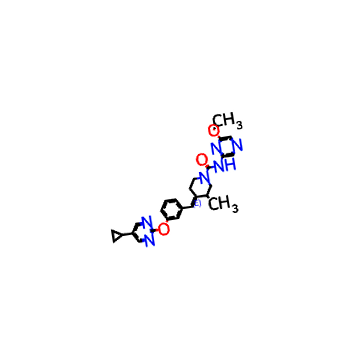 COc1cncc(NC(=O)N2CC/C(=C\c3cccc(Oc4ncc(C5CC5)cn4)c3)C(C)C2)n1